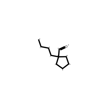 CCCCC1(C=O)CCCC1